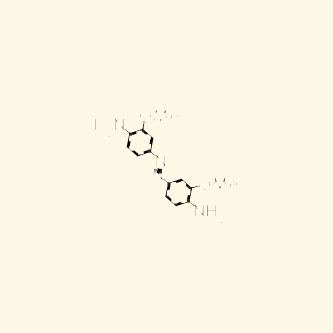 COc1cc(N=Nc2ccc(N)c(OC)c2)ccc1N